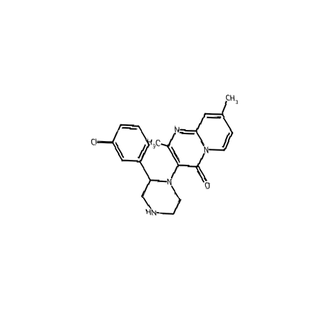 Cc1ccn2c(=O)c(N3CCNCC3c3cccc(Cl)c3)c(C)nc2c1